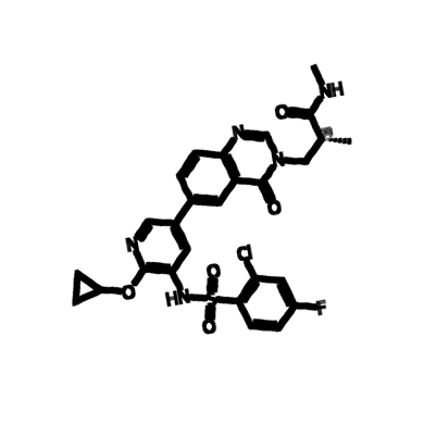 CNC(=O)[C@H](C)Cn1cnc2ccc(-c3cnc(OC4CC4)c(NS(=O)(=O)c4ccc(F)cc4Cl)c3)cc2c1=O